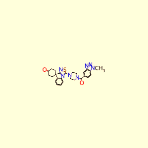 Cn1nnc2cc(C(=O)N3CCN(c4nc(C5(c6ccccc6)CCC(=O)CC5)ns4)CC3)ccc21